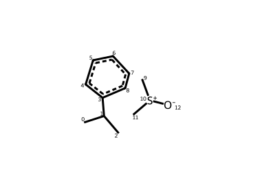 CC(C)c1ccccc1.C[S+](C)[O-]